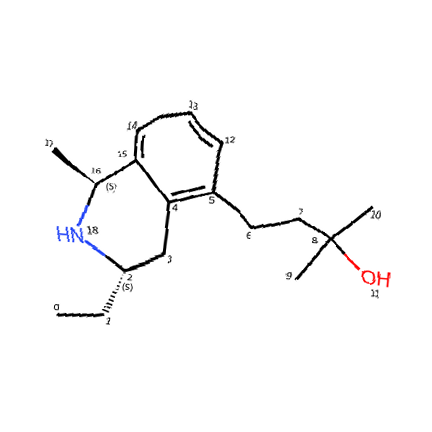 CC[C@H]1Cc2c(CCC(C)(C)O)cccc2[C@H](C)N1